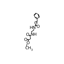 CCOC(=O)CC(=O)NCCNC(=O)OCc1ccccc1